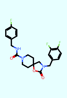 O=C(NCc1ccc(F)cc1)N1CCC2(CC1)CN(Cc1ccc(F)c(F)c1)C(=O)O2